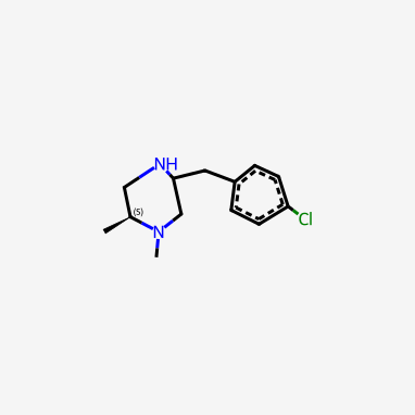 C[C@H]1CNC(Cc2ccc(Cl)cc2)CN1C